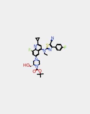 CCN(c1nc(-c2ccc(F)cc2)c(C#N)s1)c1cc(C2CC2)nc2c(F)cc(N3CCN(C(=O)OC(C)(C)C)[C@H](CO)C3)cc12